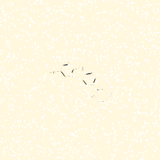 Cl.Fc1cc2c(cc1Nc1ncc(C(F)(F)F)cn1)CCN1CCNC[C@@H]21